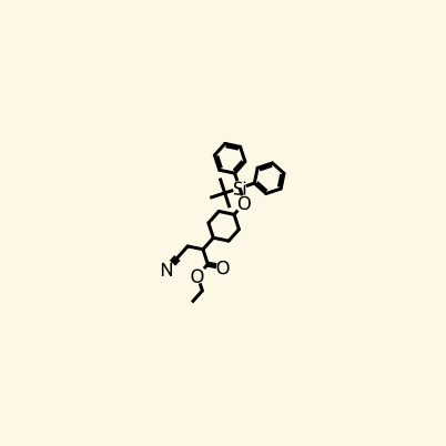 CCOC(=O)C(CC#N)C1CCC(O[Si](c2ccccc2)(c2ccccc2)C(C)(C)C)CC1